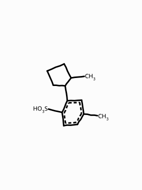 Cc1ccc(S(=O)(=O)O)c(C2CCCC2C)c1